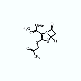 COC(=O)C1=C(SCC(=O)C(F)(F)F)S[C@H]2CC(=O)N12.O